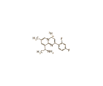 [2H][C@@H]1C=C(c2ccc(F)cc2F)N=C2C(C(C)N)=CC(C)=CN21